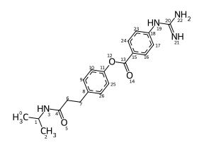 CC(C)NC(=O)CCc1ccc(OC(=O)c2ccc(NC(=N)N)cc2)cc1